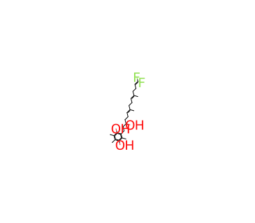 C/C(=C\CC/C(C)=C/CCC(O)CCc1c(C)c(O)c(C)c(C)c1O)CCC=C(F)F